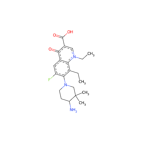 CCc1c(N2CCC(N)C(C)(C)C2)c(F)cc2c(=O)c(C(=O)O)cn(CC)c12